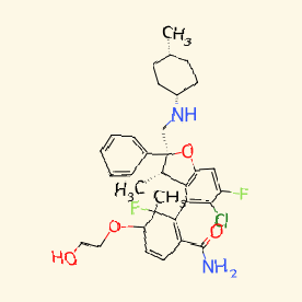 C[C@H]1c2c(cc(F)c(Cl)c2C2=C(C(N)=O)C=CC(OCCO)C2(C)F)O[C@]1(CN[C@H]1CC[C@@H](C)CC1)c1ccccc1